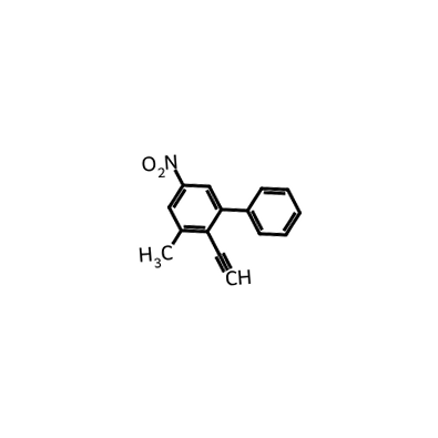 C#Cc1c(C)cc([N+](=O)[O-])cc1-c1ccccc1